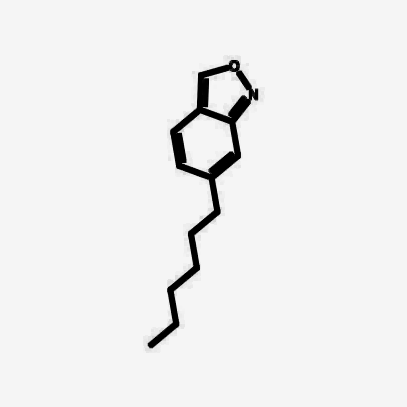 CCCCCCc1ccc2conc2c1